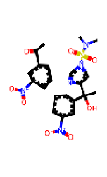 CC(=O)c1cccc([N+](=O)[O-])c1.CN(C)S(=O)(=O)n1cnc(C(C)(O)c2cccc([N+](=O)[O-])c2)c1